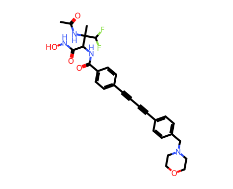 CC(=O)NC(C)(C(F)F)C(NC(=O)c1ccc(C#CC#Cc2ccc(CN3CCOCC3)cc2)cc1)C(=O)NO